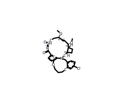 CO[C@H]1/C=C/[C@H](OC)CC/[SH](=O)=N\C(=O)c2ccc3c(c2)N(Cc2ccc(Cl)cc2CCCCO3)C[C@@H]2CC[C@H]21